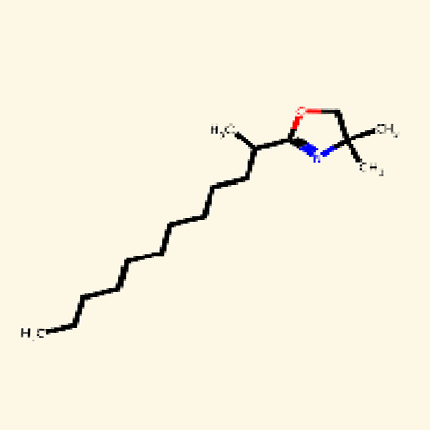 CCCCCCCCCCC(C)C1=NC(C)(C)CO1